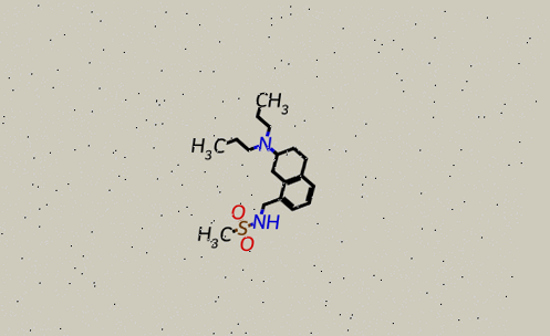 CCCN(CCC)C1CCc2cccc(CNS(C)(=O)=O)c2C1